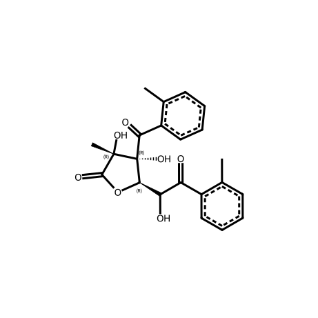 Cc1ccccc1C(=O)C(O)[C@H]1OC(=O)[C@](C)(O)[C@@]1(O)C(=O)c1ccccc1C